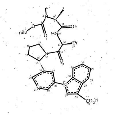 CCCCOC(=O)N(C)[C@@H](C)C(=O)N[C@H](C(=O)N1CCC[C@H]1c1cncc(-n2cc(C(=O)O)c3ccccc32)c1)C(C)C